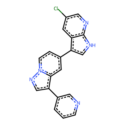 Clc1cnc2[nH]cc(-c3ccn4ncc(-c5cccnc5)c4c3)c2c1